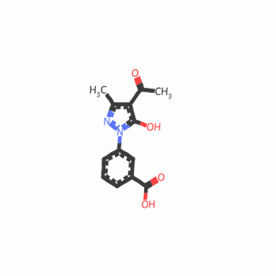 CC(=O)c1c(C)nn(-c2cccc(C(=O)O)c2)c1O